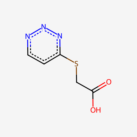 O=C(O)CSc1ccnnn1